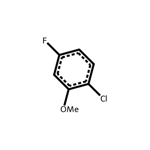 COc1cc(F)ccc1Cl